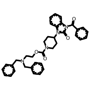 O=C(OCCN(Cc1ccccc1)Cc1ccccc1)N1CCC(n2c(=O)n(C(=O)c3ccccc3)c3ccccc32)CC1